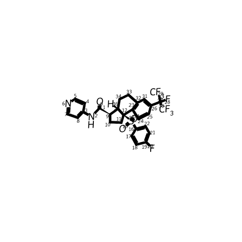 O=C(Nc1ccncc1)[C@@H]1CC[C@@]2(S(=O)(=O)c3ccc(F)cc3)c3ccc(C(F)(C(F)(F)F)C(F)(F)F)cc3CC[C@@H]12